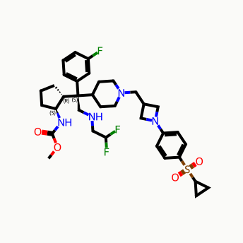 COC(=O)N[C@H]1CCC[C@@H]1[C@](CNCC(F)F)(c1cccc(F)c1)C1CCN(CC2CN(c3ccc(S(=O)(=O)C4CC4)cc3)C2)CC1